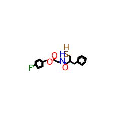 O=C(CNC(=O)C(CS)Cc1ccccc1)OCc1ccc(F)cc1